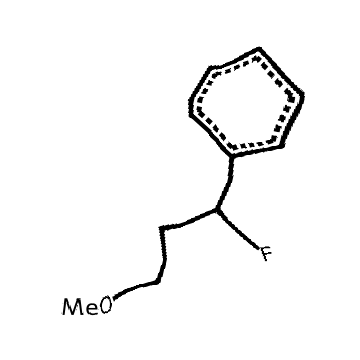 COCCC(F)c1ccccc1